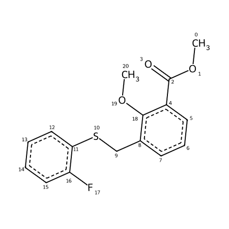 COC(=O)c1cccc(CSc2ccccc2F)c1OC